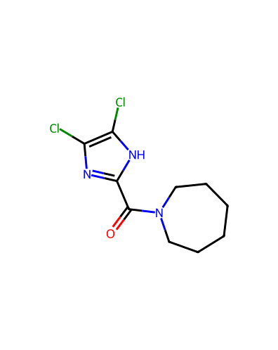 O=C(c1nc(Cl)c(Cl)[nH]1)N1CCCCCC1